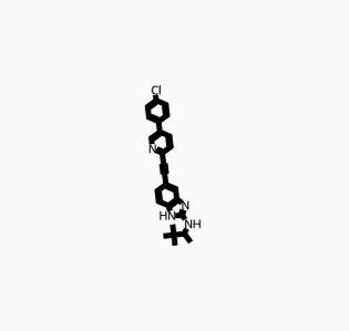 CC(Nc1nc2cc(C#Cc3ccc(-c4ccc(Cl)cc4)cn3)ccc2[nH]1)C(C)(C)C